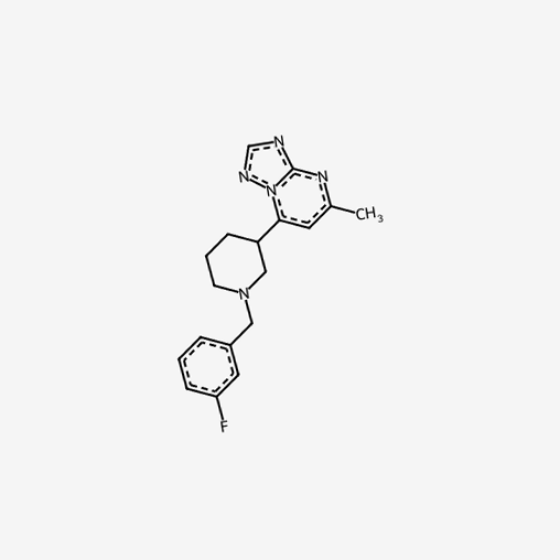 Cc1cc(C2CCCN(Cc3cccc(F)c3)C2)n2ncnc2n1